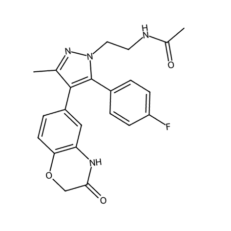 CC(=O)NCCn1nc(C)c(-c2ccc3c(c2)NC(=O)CO3)c1-c1ccc(F)cc1